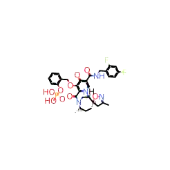 CC1=NO[C@@]2(CC[C@H](C)N3C[C@H]2n2cc(C(=O)NCc4ccc(F)cc4F)c(=O)c(OCc4ccccc4OP(=O)(O)O)c2C3=O)C1